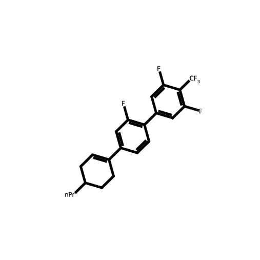 CCCC1CC=C(c2ccc(-c3[c]c(F)c(C(F)(F)F)c(F)c3)c(F)c2)CC1